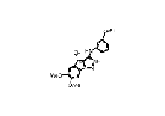 CCOc1cccc(Nc2[nH]nc3c2[C@@H](C)c2cc(OC)c(OC)cc2-3)c1